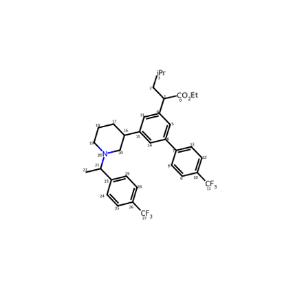 CCOC(=O)C(CC(C)C)c1cc(-c2ccc(C(F)(F)F)cc2)cc(C2CCCN(C(C)c3ccc(C(F)(F)F)cc3)C2)c1